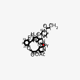 C=CC(=O)N1CCN(c2nc(=O)n3c4nc(c(F)cc24)-c2c(F)cccc2OCC(=O)[C@@H](OC(C)=O)c2ccnc(C(C)C)c2-3)[C@@H](C)C1